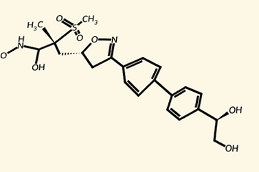 C[C@@](C[C@H]1CC(c2ccc(-c3ccc([C@@H](O)CO)cc3)cc2)=NO1)(C(O)NO)S(C)(=O)=O